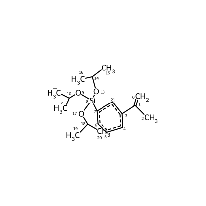 C=C(C)c1cccc([Si](OC(C)C)(OC(C)C)OC(C)C)c1